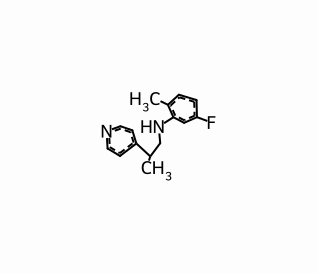 Cc1ccc(F)cc1NCC(C)c1ccncc1